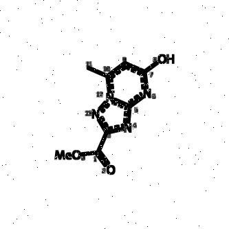 COC(=O)c1nc2nc(O)cc(C)n2n1